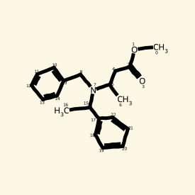 COC(=O)CC(C)N(Cc1ccccc1)C(C)c1ccccc1